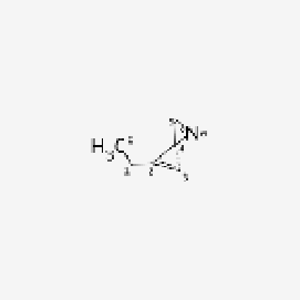 CCC1=C[C@@]12C=N2